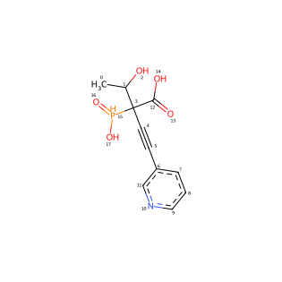 CC(O)C(C#Cc1cccnc1)(C(=O)O)[PH](=O)O